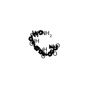 CC1(N)CCN(c2cnc(Sc3cccc(NC(=O)CCN4CCN(c5ccc(C(=O)NCc6ccc7c(c6)CN(C6CCC(=O)NC6=C6CC6)C7=O)nn5)CC4)c3)cn2)CC1